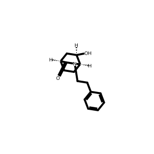 O=C1[C@H]2CC[C@H]([C@H](O)C2)N1CCc1ccccc1